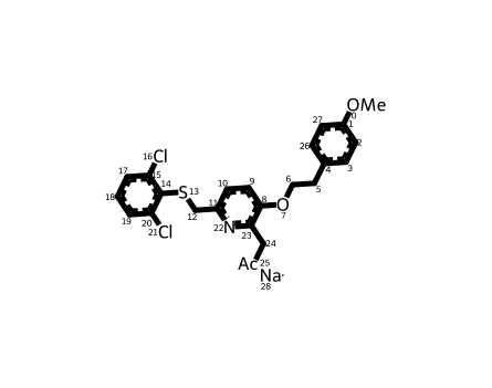 COc1ccc(CCOc2ccc(CSc3c(Cl)cccc3Cl)nc2CC(C)=O)cc1.[Na]